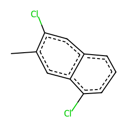 Cc1cc2c(Cl)cccc2cc1Cl